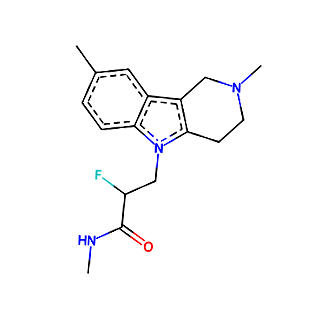 CNC(=O)C(F)Cn1c2c(c3cc(C)ccc31)CN(C)CC2